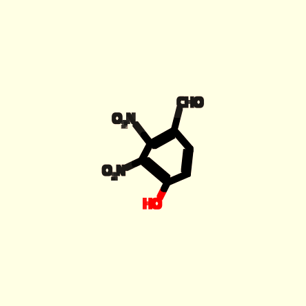 O=Cc1ccc(O)c([N+](=O)[O-])c1[N+](=O)[O-]